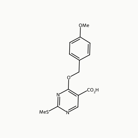 COc1ccc(COc2nc(SC)ncc2C(=O)O)cc1